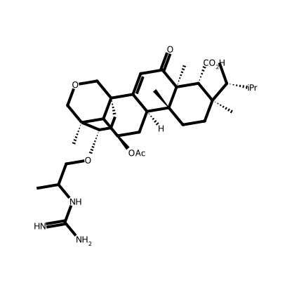 CC(=O)O[C@@H]1C[C@@]23COC[C@@](C)(C2CC[C@H]2C3=CC(=O)[C@@]3(C)[C@H](C(=O)O)[C@@](C)([C@H](C)C(C)C)CC[C@]23C)[C@H]1OCC(C)NC(=N)N